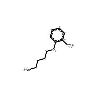 CCCCCCCCCCCCCOc1ccccc1C(=O)O